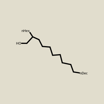 CCCCCCCCCCCCCCCCCCC(CO)CCCCCC